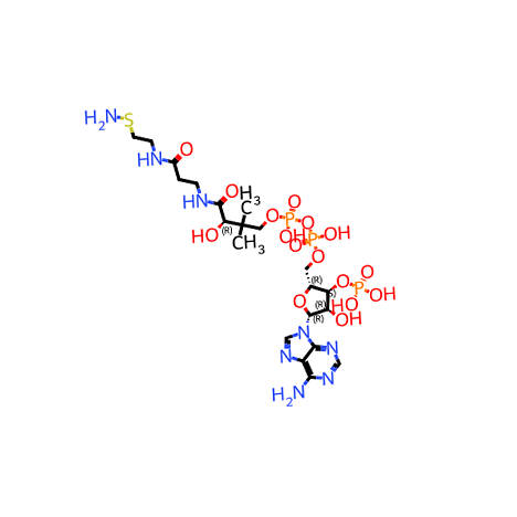 CC(C)(COP(=O)(O)OP(=O)(O)OC[C@H]1O[C@@H](n2cnc3c(N)ncnc32)[C@H](O)[C@@H]1OP(=O)(O)O)[C@@H](O)C(=O)NCCC(=O)NCCSN